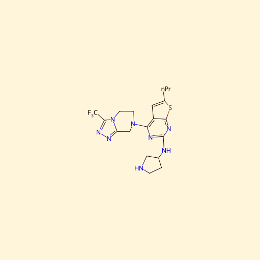 CCCc1cc2c(N3CCn4c(nnc4C(F)(F)F)C3)nc(NC3CCNC3)nc2s1